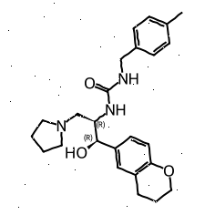 Cc1ccc(CNC(=O)N[C@H](CN2CCCC2)[C@H](O)c2ccc3c(c2)CCCO3)cc1